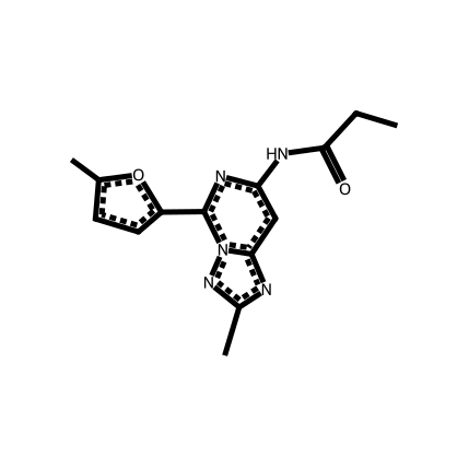 CCC(=O)Nc1cc2nc(C)nn2c(-c2ccc(C)o2)n1